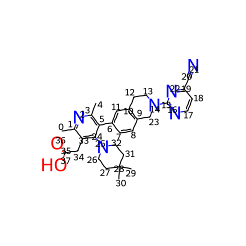 Cc1nc(C)c(-c2ccc3c(c2)CCN(c2nccc(C#N)n2)C3)c(N2CCC(C)(C)CC2)c1CC(=O)O